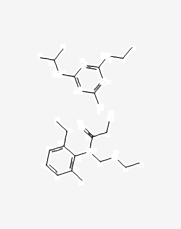 CCNc1nc(Cl)nc(NC(C)C)n1.CCOCN(C(=O)CCl)c1c(C)cccc1CC